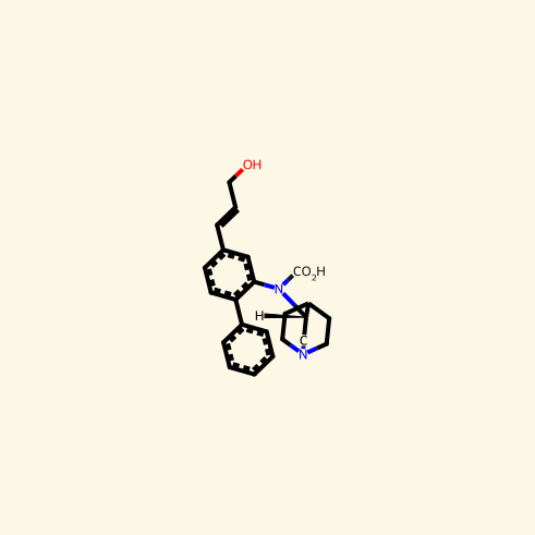 O=C(O)N(c1cc(C=CCO)ccc1-c1ccccc1)[C@H]1CN2CCC1CC2